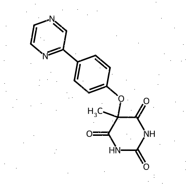 CC1(Oc2ccc(-c3cnccn3)cc2)C(=O)NC(=O)NC1=O